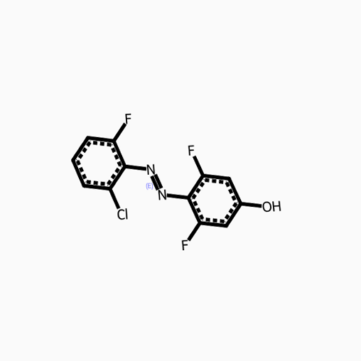 Oc1cc(F)c(/N=N/c2c(F)cccc2Cl)c(F)c1